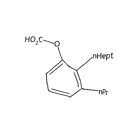 CCCCCCCc1c(CCC)cccc1OC(=O)O